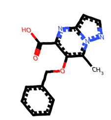 Cc1c(OCc2ccccc2)c(C(=O)O)nc2ccnn12